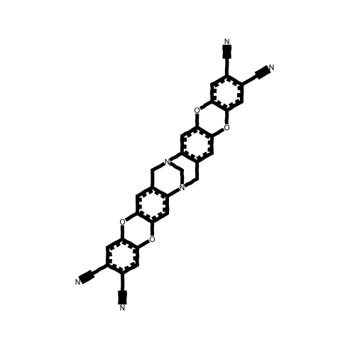 N#Cc1cc2c(cc1C#N)Oc1cc3c(cc1O2)CN1CN3Cc2cc3c(cc21)Oc1cc(C#N)c(C#N)cc1O3